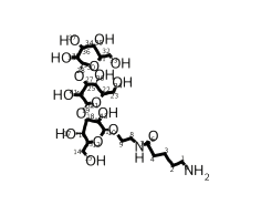 NCCCCC(=O)NCCO[C@H]1OC(CO)[C@@H](O)C(O[C@H]2OC(CO)[C@@H](O)C(O[C@H]3OC(CO)[C@@H](O)C(O)C3O)C2O)C1O